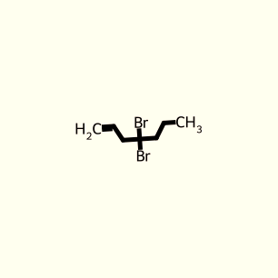 C=CCC(Br)(Br)CCC